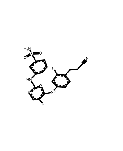 N#CCCc1ccc(Nc2nc(Nc3cccc(S(N)(=O)=O)c3)ncc2F)cc1F